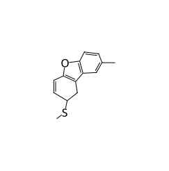 CSC1C=Cc2oc3ccc(C)cc3c2C1